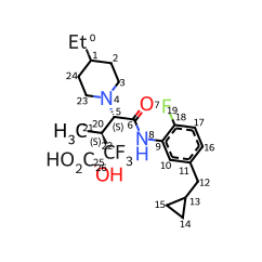 CCC1CCN([C@H](C(=O)Nc2cc(CC3CC3)ccc2F)[C@H](C)C(F)(F)F)CC1.O=C(O)O